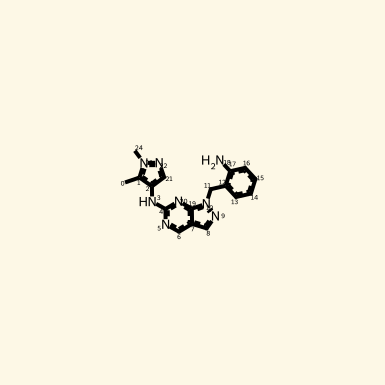 Cc1c(Nc2ncc3cnn(Cc4ccccc4N)c3n2)cnn1C